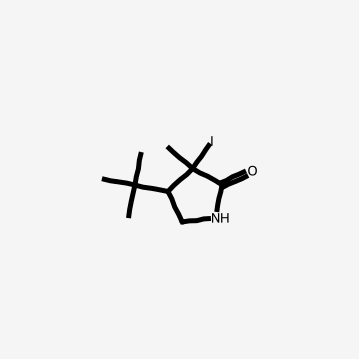 CC(C)(C)C1CNC(=O)C1(C)I